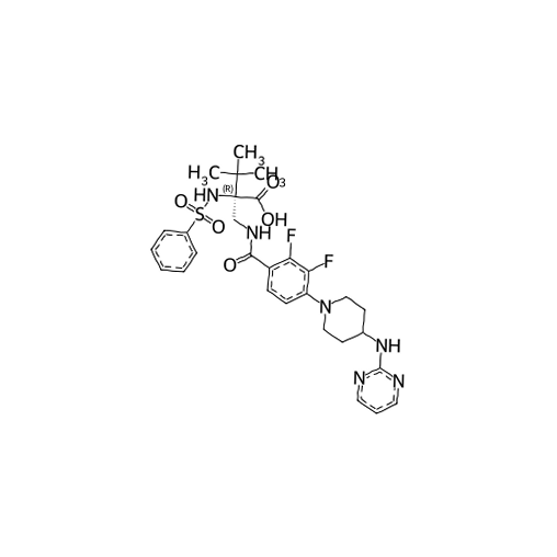 CC(C)(C)[C@](CNC(=O)c1ccc(N2CCC(Nc3ncccn3)CC2)c(F)c1F)(NS(=O)(=O)c1ccccc1)C(=O)O